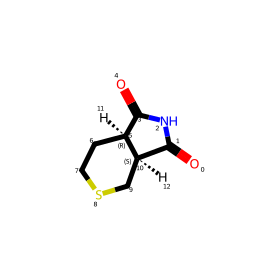 O=C1NC(=O)[C@@H]2CCSC[C@H]12